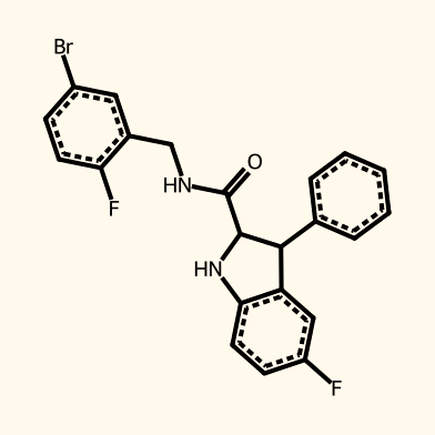 O=C(NCc1cc(Br)ccc1F)C1Nc2ccc(F)cc2C1c1ccccc1